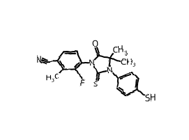 Cc1c(C#N)ccc(N2C(=O)C(C)(C)N(c3ccc(S)cc3)C2=S)c1F